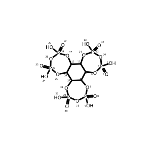 O=P1(O)OC2C3OP(=O)(O)OP(=O)(O)OC3C3OP(=O)(O)OP(=O)(O)OC3C2OP(=O)(O)O1